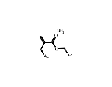 C=C(CC(C)=O)C(=O)OCC(C)=O.N